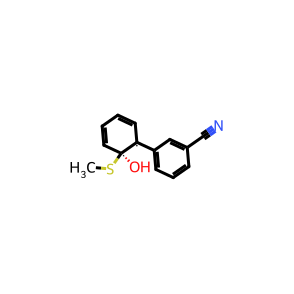 CS[C@@]1(O)C=CC=C[C]1c1cccc(C#N)c1